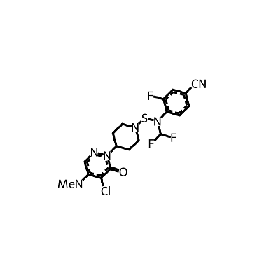 CNc1cnn(C2CCN(SN(c3ccc(C#N)cc3F)C(F)F)CC2)c(=O)c1Cl